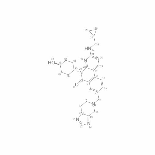 O=c1c2cc(CN3CCn4ncnc4C3)ccc2c2cnc(NCC3CC3)nc2n1[C@H]1CC[C@H](O)CC1